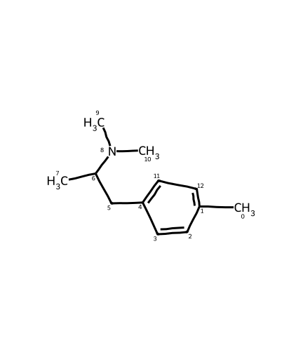 Cc1ccc(CC(C)N(C)C)cc1